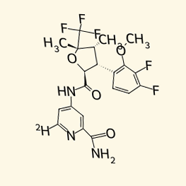 [2H]c1cc(NC(=O)[C@H]2O[C@](C)(C(F)(F)F)[C@H](C)[C@@H]2c2ccc(F)c(F)c2OC)cc(C(N)=O)n1